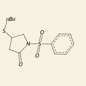 CCCCSC1CC(=O)N(S(=O)(=O)c2ccccc2)C1